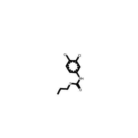 CCCSC(=O)Nc1ccc(Cl)c(Cl)c1